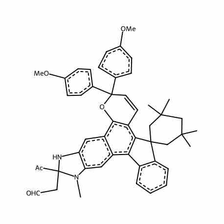 COc1ccc(C2(c3ccc(OC)cc3)C=Cc3c4c(c5cc6c(cc5c3O2)NC(CC=O)(C(C)=O)N6C)-c2ccccc2C42CC(C)(C)CC(C)(C)C2)cc1